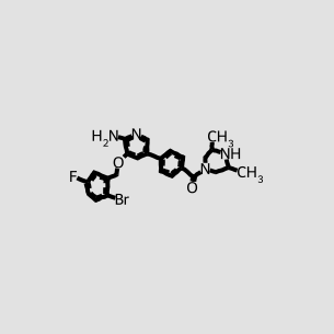 CC1CN(C(=O)c2ccc(-c3cnc(N)c(OCc4cc(F)ccc4Br)c3)cc2)CC(C)N1